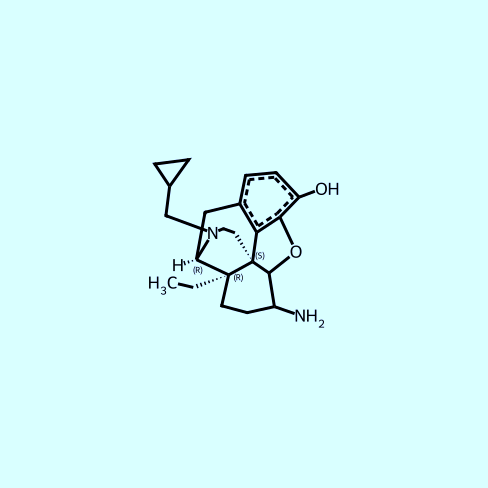 CC[C@@]12CCC(N)C3Oc4c(O)ccc5c4[C@@]31CCN(CC1CC1)[C@@H]2C5